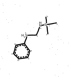 C[Si](C)(C)NC[SiH2]c1ccccc1